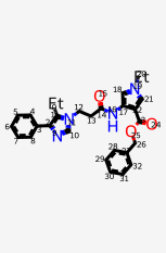 CCc1c(-c2ccccc2)ncn1CCC(=O)Nc1cn(CC)cc1C(=O)OCc1ccccc1